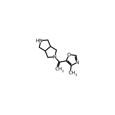 C=C(c1ocnc1C)N1CC2CNCC2C1